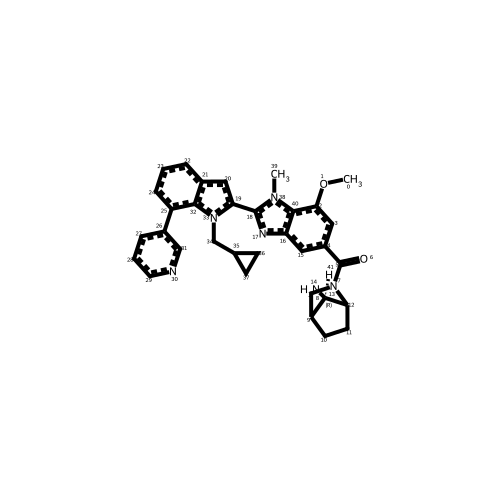 COc1cc(C(=O)N2CC3CCC2[C@@H]3N)cc2nc(-c3cc4cccc(-c5cccnc5)c4n3CC3CC3)n(C)c12